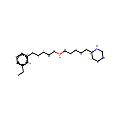 CCc1cccc(CCCCCOCCCCCC2CCCC[N]2)c1